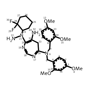 COc1ccc(CN(Cc2ccc(OC)cc2OC)C2=NC=NC(N(N)C3CCCCC3(F)F)=C(N)C2)c(OC)c1